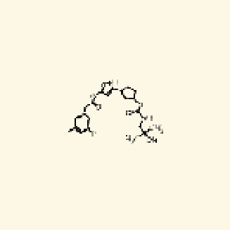 CC(C)(O)CNC(=O)O[C@@H]1CC[C@H](c2cc(NC(=O)Cc3cc(F)cc(F)c3)n[nH]2)C1